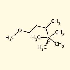 COCCC(C)[SH](C)(C)(C)C